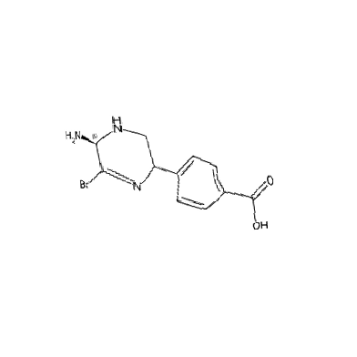 N[C@H]1NCC(c2ccc(C(=O)O)cc2)N=C1Br